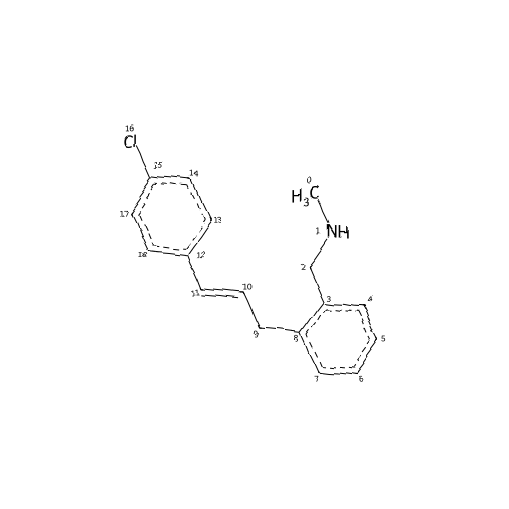 CNCc1ccccc1C/C=C/c1ccc(Cl)cc1